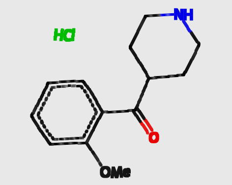 COc1ccccc1C(=O)C1CCNCC1.Cl